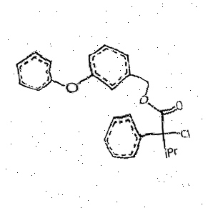 CC(C)C(Cl)(C(=O)OCc1cccc(Oc2ccccc2)c1)c1ccccc1